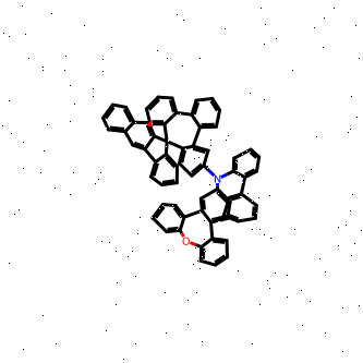 c1ccc(-c2ccccc2N(c2ccc3c(c2)-c2ccccc2Oc2ccccc2-3)c2ccc3c(c2)-c2ccccc2-c2ccccc2C32c3ccccc3-c3cc4ccccc4cc32)cc1